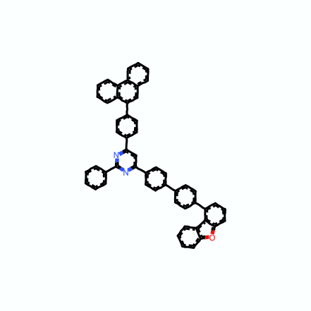 c1ccc(-c2nc(-c3ccc(-c4ccc(-c5cccc6oc7ccccc7c56)cc4)cc3)cc(-c3ccc(-c4cc5ccccc5c5ccccc45)cc3)n2)cc1